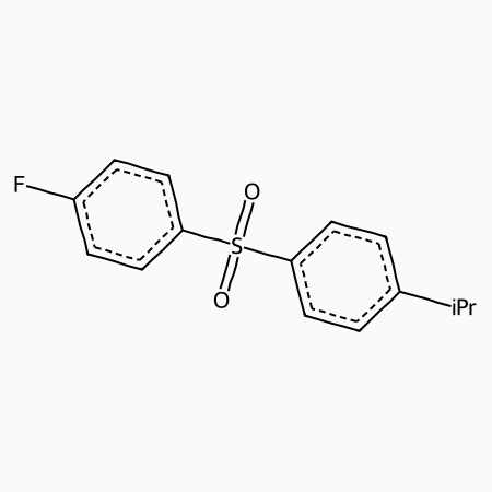 CC(C)c1ccc(S(=O)(=O)c2ccc(F)cc2)cc1